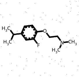 CC(C)c1ccc(OCCN(C)C)c(F)c1